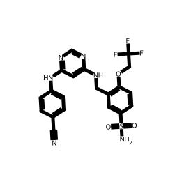 N#Cc1ccc(Nc2cc(NCc3cc(S(N)(=O)=O)ccc3OCC(F)(F)F)ncn2)cc1